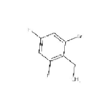 CCc1c(F)cc(F)cc1Br